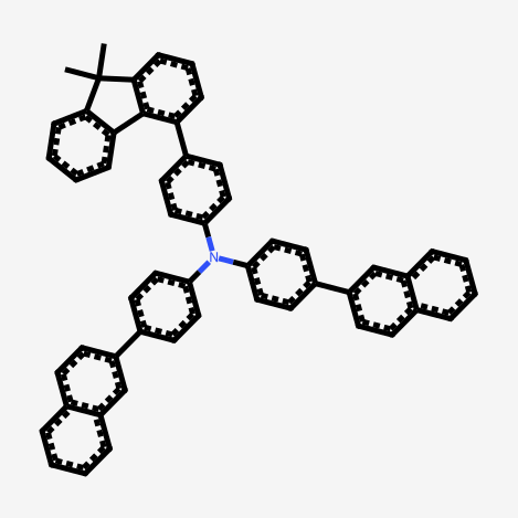 CC1(C)c2ccccc2-c2c(-c3ccc(N(c4ccc(-c5ccc6ccccc6c5)cc4)c4ccc(-c5ccc6ccccc6c5)cc4)cc3)cccc21